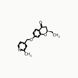 CC[C@@H]1CC(=O)c2ccc(OCc3ccnc(C)c3)cc2O1